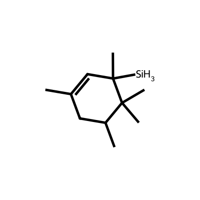 CC1=CC(C)([SiH3])C(C)(C)C(C)C1